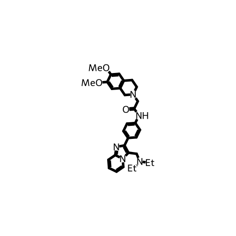 CCN(CC)Cc1c(-c2ccc(NC(=O)CN3CCc4cc(OC)c(OC)cc4C3)cc2)nc2ccccn12